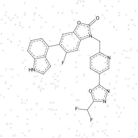 O=c1oc2cc(-c3cccc4[nH]ccc34)c(F)cc2n1Cc1ccc(-c2nnc(C(F)F)o2)cn1